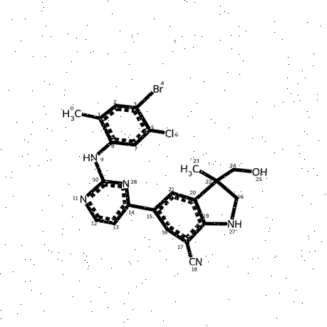 Cc1cc(Br)c(Cl)cc1Nc1nccc(-c2cc(C#N)c3c(c2)C(C)(CO)CN3)n1